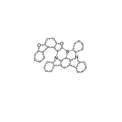 c1ccc2c(c1)B1c3oc4ccc5oc6ccccc6c5c4c3-n3c4ccccc4c4cc5c6ccccc6n-2c5c1c43